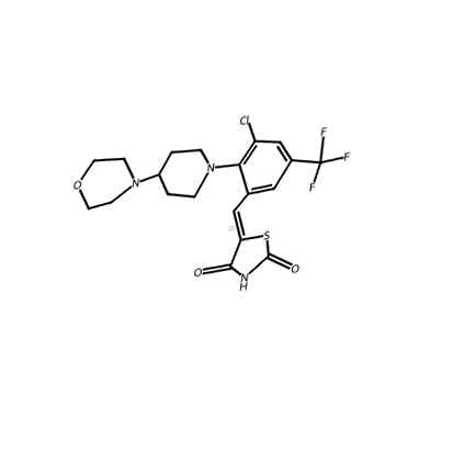 O=C1NC(=O)/C(=C/c2cc(C(F)(F)F)cc(Cl)c2N2CCC(N3CCOCC3)CC2)S1